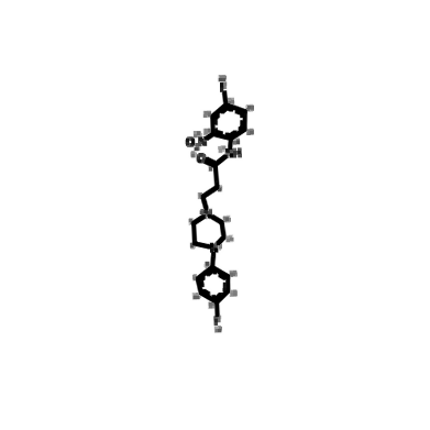 O=C(CCN1CCN(c2ccc(F)cc2)CC1)Nc1ccc(F)cc1[N+](=O)[O-]